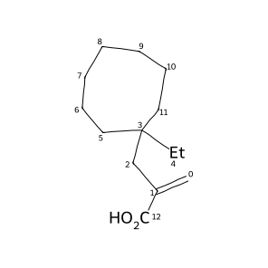 C=C(CC1(CC)CCCCCCC1)C(=O)O